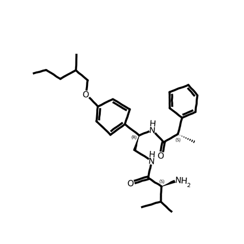 CCCC(C)COc1ccc([C@H](CNC(=O)[C@@H](N)C(C)C)NC(=O)[C@@H](C)c2ccccc2)cc1